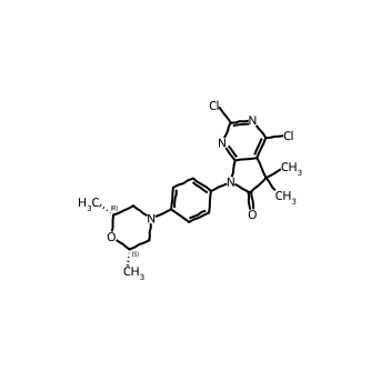 C[C@@H]1CN(c2ccc(N3C(=O)C(C)(C)c4c(Cl)nc(Cl)nc43)cc2)C[C@H](C)O1